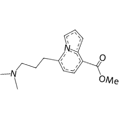 COC(=O)c1ccc(CCCN(C)C)n2cccc12